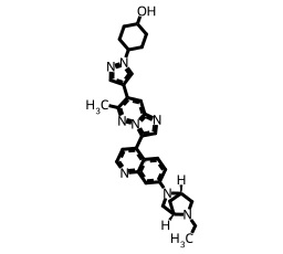 CCN1C[C@@H]2C[C@H]1CN2c1ccc2c(-c3cnc4cc(-c5cnn(C6CCC(O)CC6)c5)c(C)nn34)ccnc2c1